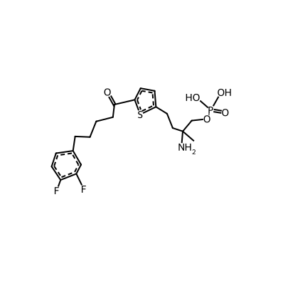 CC(N)(CCc1ccc(C(=O)CCCCc2ccc(F)c(F)c2)s1)COP(=O)(O)O